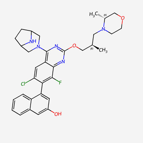 C[C@@H](COc1nc(N2CC3CCC(C2)N3)c2cc(Cl)c(-c3cc(O)cc4ccccc34)c(F)c2n1)CN1CCOC[C@H]1C